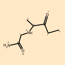 CCC(=O)C(C)NCC(N)=O